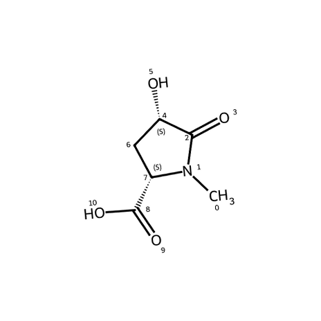 CN1C(=O)[C@@H](O)C[C@H]1C(=O)O